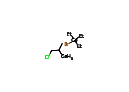 C[CH2][Ge]([Br])([CH2]C)[CH2]C.C[CH]([GeH3])CCl